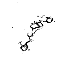 Cc1ncccc1O[C@H]1CO[C@H]2[C@@H]1OC[C@@H]2NC(=O)NCC1C[C@@H]2CC[C@H]1O2